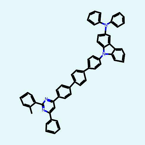 Cc1ccccc1-c1nc(-c2ccccc2)cc(-c2ccc(-c3ccc(-c4ccc(-n5c6ccccc6c6cc(N(c7ccccc7)c7ccccc7)ccc65)cc4)cc3)cc2)n1